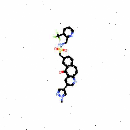 Cn1cc(-c2cnc3ccc4ccc(CS(=O)(=O)NCc5ncccc5C(F)(F)F)cc4c(=O)c3c2)cn1